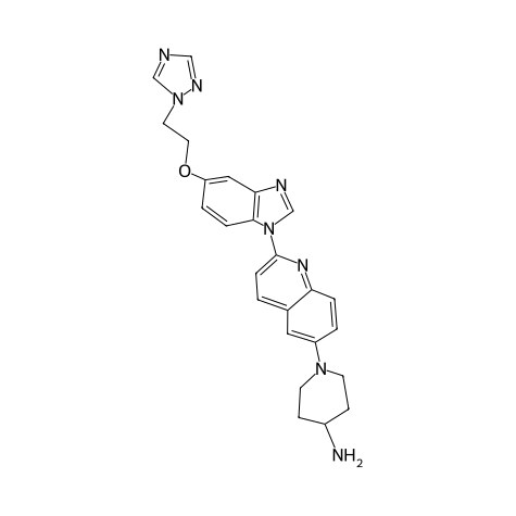 NC1CCN(c2ccc3nc(-n4cnc5cc(OCCn6cncn6)ccc54)ccc3c2)CC1